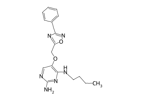 CCCCNc1nc(N)ncc1OCc1nc(-c2ccccc2)no1